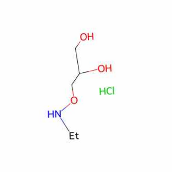 CCNOCC(O)CO.Cl